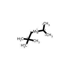 C[CH](C)[Mg][CH2]C(C)(C)C